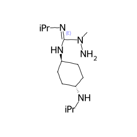 CC(C)/N=C(\N[C@H]1CC[C@H](NC(C)C)CC1)N(C)N